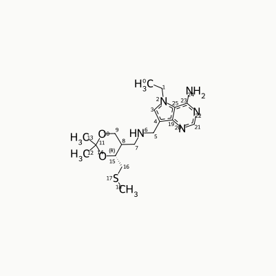 CCn1cc(CNCC2COC(C)(C)O[C@H]2CSC)c2ncnc(N)c21